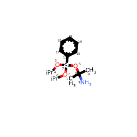 CC(C)O[Si](OC(C)C)(OC(C)(C)N)c1ccccc1